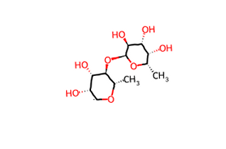 C[C@@H]1O[C@@H](O[C@@H]2[C@@H](O)[C@@H](O)[CH]O[C@H]2C)[C@@H](O)[C@H](O)[C@@H]1O